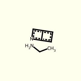 CCN.c1cc2ncc1-2